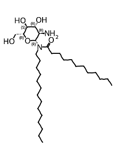 CCCCCCCCCCCCCCN(C(=O)CCCCCCCCCCC)[C@@H]1O[C@H](CO)[C@@H](O)[C@H](O)[C@H]1N